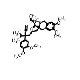 CCOC(=O)C1(CCCC(C#N)(c2ccc(OC)c(OC)c2)C(C)C)Cc2cc(OC)c(OC)cc2CN1C